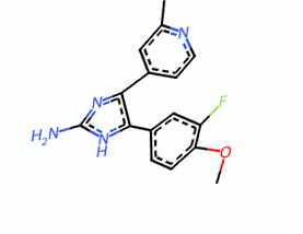 COc1ccc(-c2[nH]c(N)nc2-c2ccnc(C)c2)cc1F